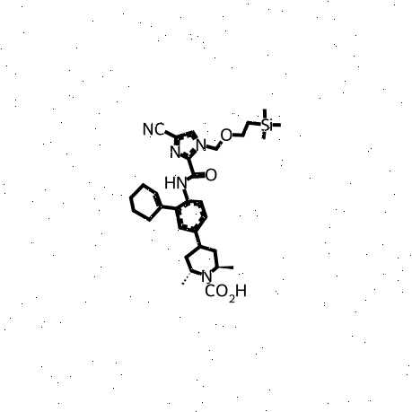 C[C@@H]1CC(c2ccc(NC(=O)c3nc(C#N)cn3COCC[Si](C)(C)C)c(C3=CCCCC3)c2)C[C@@H](C)N1C(=O)O